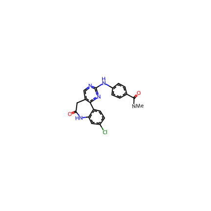 CNC(=O)c1ccc(Nc2ncc3c(n2)-c2ccc(Cl)cc2NC(=O)C3)cc1